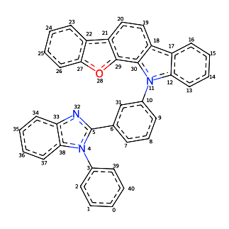 c1ccc(-n2c(-c3cccc(-n4c5ccccc5c5ccc6c7ccccc7oc6c54)c3)nc3ccccc32)cc1